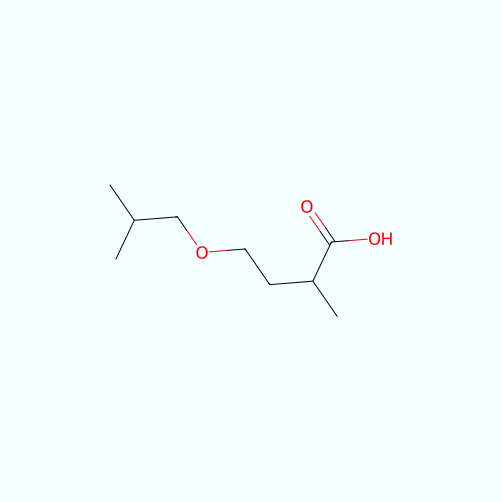 CC(C)COCCC(C)C(=O)O